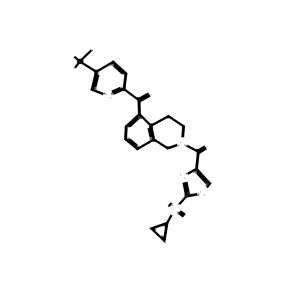 O=C(c1ccc(C(F)(F)F)cn1)c1cccc2c1CCN(C(=O)c1c[nH]c(S(=O)(=O)C3CC3)n1)C2